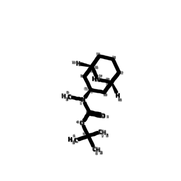 CN(C(=O)OC(C)(C)C)[C@@H]1C[C@H]2CCC[C@@H](C1)N2